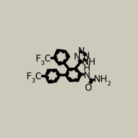 NC(=O)Nc1ccc(-c2ccc(C(F)(F)F)cc2)c(-c2cccc(C(F)(F)F)c2)c1-c1nnn[nH]1